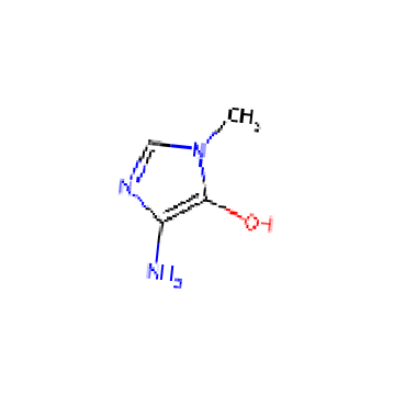 Cn1cnc(N)c1O